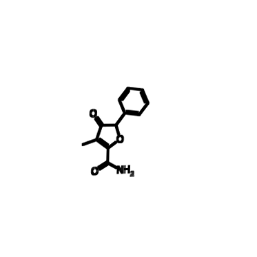 CC1=C(C(N)=O)OC(c2ccccc2)C1=O